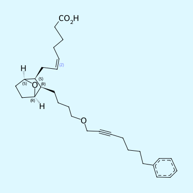 O=C(O)CCC/C=C\C[C@H]1[C@@H](CCCCOCC#CCCCCc2ccccc2)[C@H]2CC[C@@H]1O2